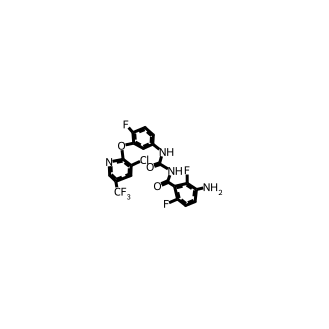 Nc1ccc(F)c(C(=O)NC(=O)Nc2ccc(F)c(Oc3ncc(C(F)(F)F)cc3Cl)c2)c1F